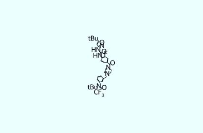 CC(C)(C)c1cc(NC(=O)Nc2ccc(C(=O)N3CCN(Cc4cccc(N(C(=O)C(F)(F)F)C(C)(C)C)c4)CC3)cc2F)no1